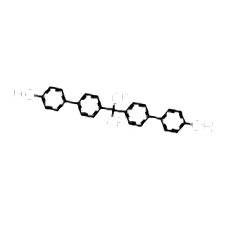 Oc1ccc(-c2ccc(C(c3ccc(-c4ccc(O)cc4)cc3)(C(F)(F)F)C(F)(F)F)cc2)cc1